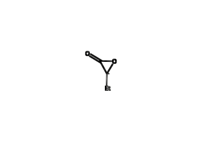 CC[C]1OC1=O